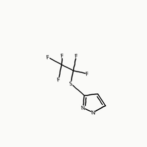 FC(F)(F)C(F)(F)SC1=N[N]C=C1